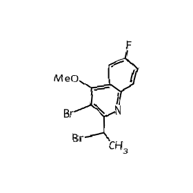 COc1c(Br)c(C(C)Br)nc2ccc(F)cc12